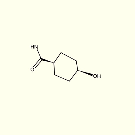 [NH]C(=O)[C@H]1CC[C@@H](O)CC1